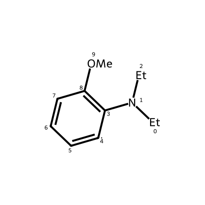 CCN(CC)c1[c]cccc1OC